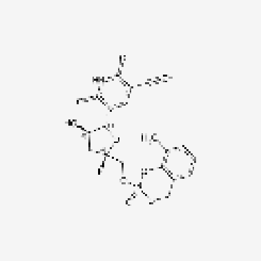 C#Cc1cn([C@@H]2O[C@](F)(COP3(=O)OCc4cccc(C)c4O3)C[C@H]2O)c(=O)[nH]c1=O